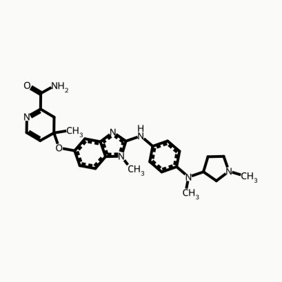 CN1CCC(N(C)c2ccc(Nc3nc4cc(OC5(C)C=CN=C(C(N)=O)C5)ccc4n3C)cc2)C1